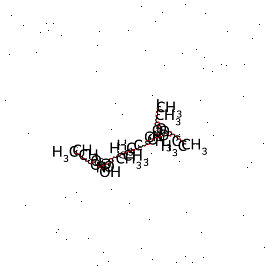 CC(C)=CCC/C(C)=C/CCC1=CCC(C(=O)OCCN(CCO)CCOC(=O)C2CC=C(CC/C=C(\C)CC/C=C(\C)CC/C(C)=C/CC/C(C)=C/CCC3=CCC(C(=O)OCCN(CCOC(=O)C4CC=C(CC/C=C(\C)CCC=C(C)C)CC4)CCOC(=O)C4CC=C(CC/C=C(\C)CC/C=C(\C)I)CC4)CC3)CC2)CC1